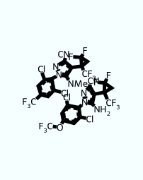 CNc1c(C2(C(F)(F)F)CC2(F)F)c(C#N)nn1-c1c(Cl)cc(C(F)(F)F)cc1Cl.N#Cc1nn(-c2c(Cl)cc(OC(F)(F)F)cc2Cl)c(N)c1C1(C(F)(F)F)CC1(F)F